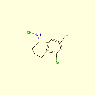 CCc1cc(Br)c2c(c1)[C@@H](NCl)CCC2